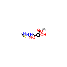 Cc1csc(N2CCN(CC(O)c3ccc(O)c(C(=O)OC(C)C)c3)CC2)n1